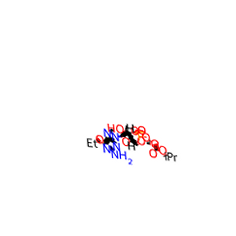 CCOc1nc(N)nc2c1ncn2[C@@H]1O[C@@H]2CO[P@@](=O)(OCOC(=O)OC(C)C)O[C@H]2[C@@]1(C)O